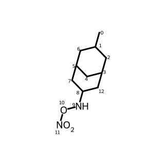 CC1CC2CC(C1)CC(NO[N+](=O)[O-])C2